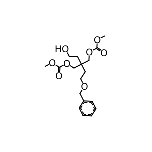 COC(=O)OCC(CCO)(CCOCc1ccccc1)COC(=O)OC